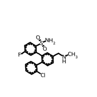 CNCc1ccc(-c2ccccc2Cl)c(-c2cc(F)ccc2S(N)(=O)=O)c1